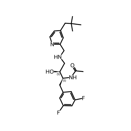 CC(=O)N[C@@H](Cc1cc(F)cc(F)c1)[C@@H](O)CNCc1cc(CC(C)(C)C)ccn1